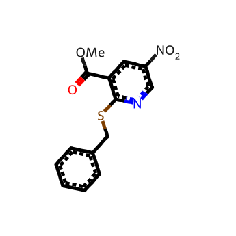 COC(=O)c1cc([N+](=O)[O-])cnc1SCc1ccccc1